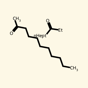 CCCCCCCC(=O)CC.CCCCCCCCCC(C)=O